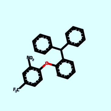 O=[N+]([O-])c1cc(C(F)(F)F)ccc1Oc1[c]cccc1C(c1ccccc1)c1ccccc1